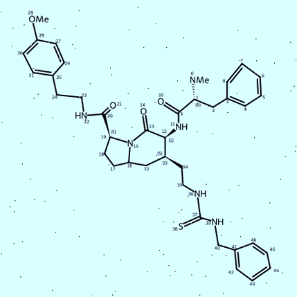 CN[C@H](Cc1ccccc1)C(=O)N[C@@H]1C(=O)N2C(CC[C@H]2C(=O)NCCc2ccc(OC)cc2)C[C@@H]1CCNC(=S)NCc1ccccc1